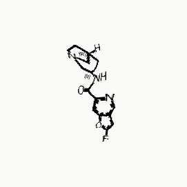 O=C(N[C@@H]1C[C@H]2CCN(C2)C1)c1cc2oc(F)cc2cn1